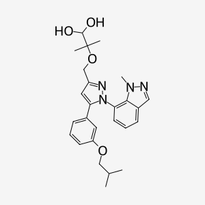 CC(C)COc1cccc(-c2cc(COC(C)(C)C(O)O)nn2-c2cccc3cnn(C)c23)c1